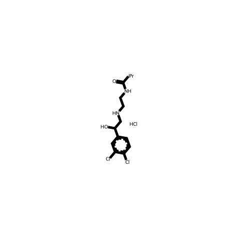 CC(C)C(=O)NCCNCC(O)c1ccc(Cl)c(Cl)c1.Cl